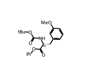 COc1cccc(C[C@@H](NC(=O)OC(C)(C)C)C(=O)OC(C)C)c1